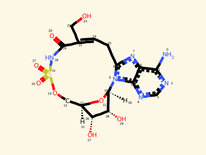 Nc1ncnc2c1nc1n2[C@@H]2O[C@H](COS(=O)(=O)NC(=O)/C(CO)=C\C1)[C@@H](O)[C@H]2O